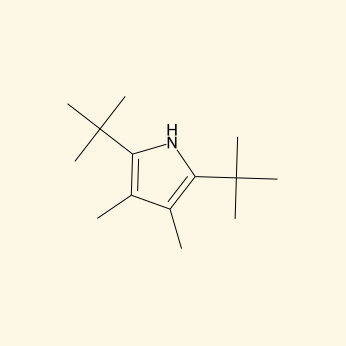 Cc1c(C(C)(C)C)[nH]c(C(C)(C)C)c1C